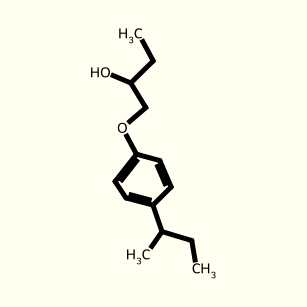 CCC(O)COc1ccc(C(C)CC)cc1